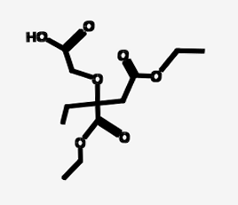 CCOC(=O)CC(CC)(OCC(=O)O)C(=O)OCC